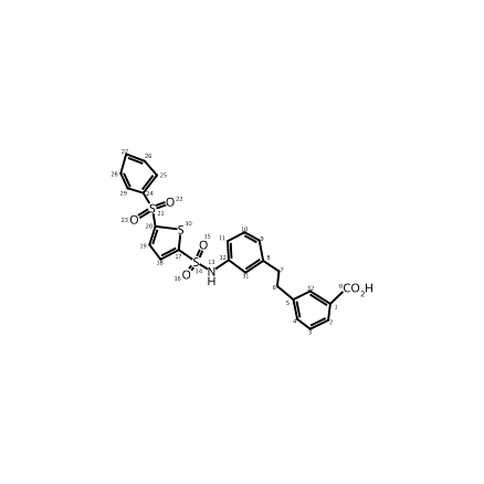 O=C(O)c1cccc(CCc2cccc(NS(=O)(=O)c3ccc(S(=O)(=O)c4ccccc4)s3)c2)c1